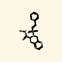 O=C(NO)C1Cc2nccnc2CN1S(=O)(=O)C=Cc1ccccc1